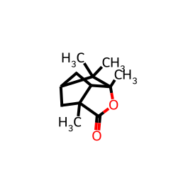 CC12CC3CC1C(C)(OC2=O)C3(C)C